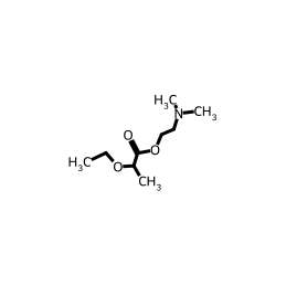 CCOC(C)C(=O)OCCN(C)C